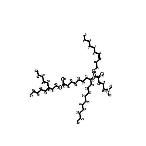 CCCCCC/C=C\CCON(C(=O)CCCN(C)C)C(CCCCCCCCCC)CCCCCCC(=O)OCCC(CCCCC)CCCCC